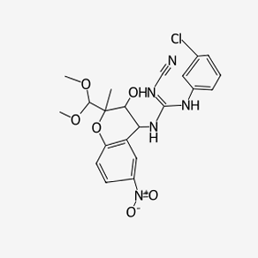 COC(OC)C1(C)Oc2ccc([N+](=O)[O-])cc2C(NC(=NC#N)Nc2cccc(Cl)c2)C1O